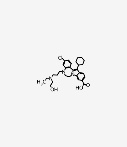 CCN(CCO)CCCN1CCn2c(c(C3CCCCC3)c3ccc(C(=O)O)cc32)-c2ccc(Cl)cc21